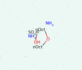 CCCCCCCCOCCCCCCCC.N.N.O=S(=O)(O)O